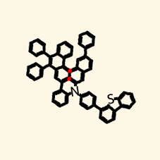 c1ccc(-c2ccc3cc(N(c4ccc(-c5cccc6c5sc5ccccc56)cc4)c4ccccc4-c4ccc5c(c4)c(-c4ccccc4)c(-c4ccccc4)c4ccccc45)ccc3c2)cc1